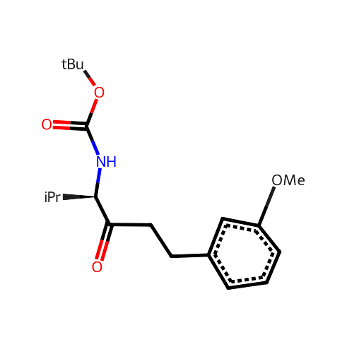 COc1cccc(CCC(=O)[C@H](NC(=O)OC(C)(C)C)C(C)C)c1